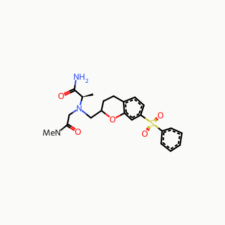 CNC(=O)CN(CC1CCc2ccc(S(=O)(=O)c3ccccc3)cc2O1)[C@H](C)C(N)=O